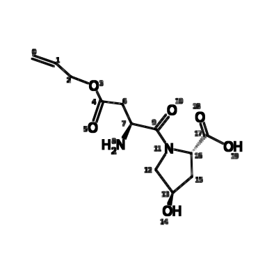 C=CCOC(=O)C[C@H](N)C(=O)N1C[C@H](O)C[C@H]1C(=O)O